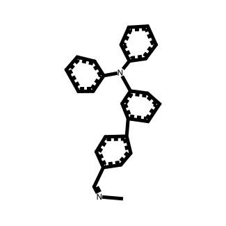 C/N=C\c1ccc(-c2cccc(N(c3ccccc3)c3ccccc3)c2)cc1